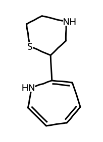 C1=CC=C(C2CNCCS2)NC=C1